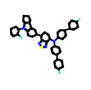 Fc1ccc(-c2ccc(N(c3ccc(-c4ccc(F)cc4)cc3)c3ccc(-c4ccc5c(c4)c4ccccc4n5-c4ccccc4F)c4nsnc34)cc2)cc1